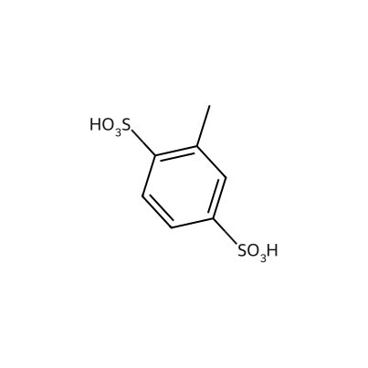 Cc1cc(S(=O)(=O)O)ccc1S(=O)(=O)O